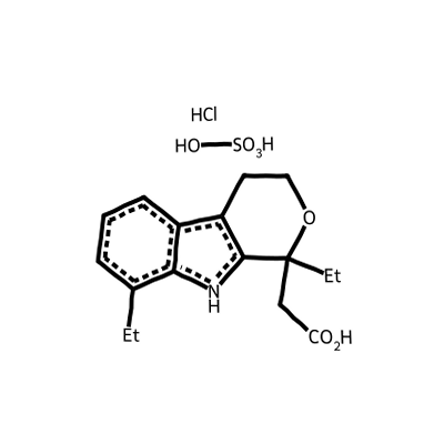 CCc1cccc2c3c([nH]c12)C(CC)(CC(=O)O)OCC3.Cl.O=S(=O)(O)O